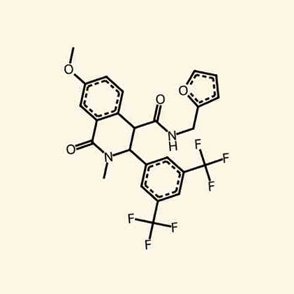 COc1ccc2c(c1)C(=O)N(C)C(c1cc(C(F)(F)F)cc(C(F)(F)F)c1)C2C(=O)NCc1ccco1